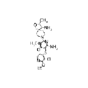 CCOc1nccc(Sc2c(N)nc(N3CCC4(CC3)CO[C@@H](C)[C@H]4N)n(C)c2=O)c1Cl